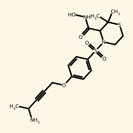 CC(N)C#CCOc1ccc(S(=O)(=O)N2CCSC(C)(C)C2C(=O)NO)cc1